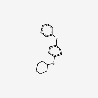 c1ccc(Sc2ccc(SC3CCCCC3)cc2)cc1